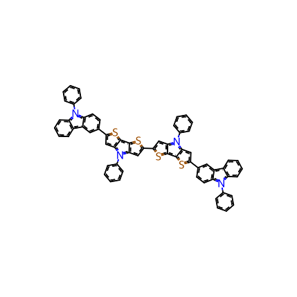 c1ccc(-n2c3ccccc3c3cc(-c4cc5c(s4)c4sc(-c6cc7c(s6)c6sc(-c8ccc9c(c8)c8ccccc8n9-c8ccccc8)cc6n7-c6ccccc6)cc4n5-c4ccccc4)ccc32)cc1